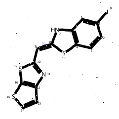 Ic1ccc2c(c1)N/C(=C/c1nc3ccsc3s1)S2